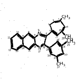 CC1=CCC(c2nc3cc4ccccc4cc3nc2-c2cc(C)cc(C)c2)=CC(C)=C1